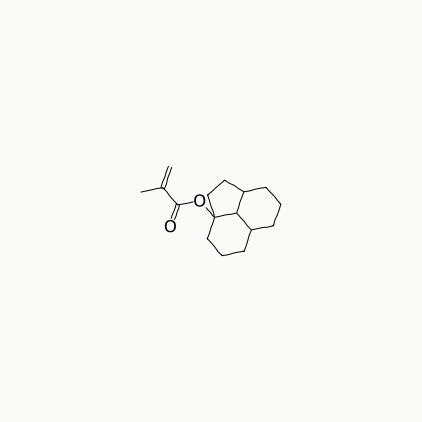 C=C(C)C(=O)OC12CCCC3CCCC(CC1)C32